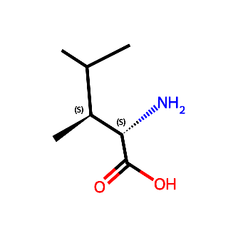 CC(C)[C@H](C)[C@H](N)C(=O)O